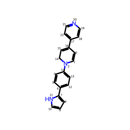 C1=CN(c2ccc(-c3ccc[nH]3)cc2)CC=C1c1ccncc1